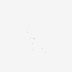 C=C(/C=C\C(C)=C/CC)C(=N)C(NCCP(F)F)C1NCN(NCCc2cccc(OCCF)c2)C1=O